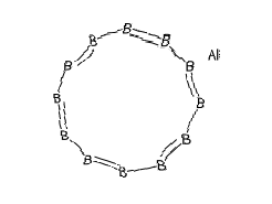 B1=BB=BB=BB=BB=BB=B1.[Al]